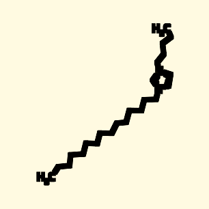 CCCCCCCCCCCCCCC[n+]1ccn(CCCCC)c1